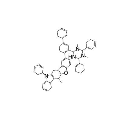 CC1C2=C(C=C3c4cc(C5=C(C6NC(C7=CCCCC7)N(C)C(C7=CC=CCC7)N6C)C=C(C6=CC=CCC6)CC5)ccc4OC31)N(C1C=CC=CC1)C1=CC=CCC12